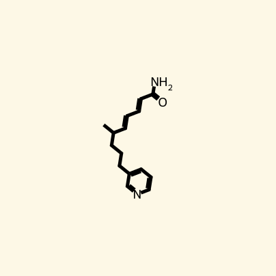 CC(C=CC=CC(N)=O)CCCc1cccnc1